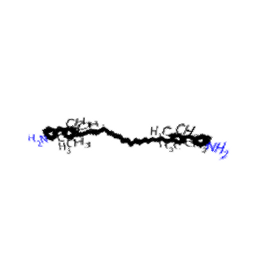 Cc1c(C)c(Cc2ccc(N)cc2)c(C)c(C)c1CCCCCCCCCCCCCCCCCCCc1c(C)c(C)c(Cc2ccc(N)cc2)c(C)c1C